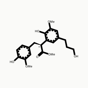 COC(=O)[C@@H](Cc1ccc(O)c(OC)c1)c1cc(CCCO)cc(OC)c1O